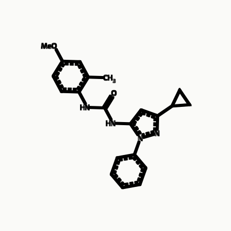 COc1ccc(NC(=O)Nc2cc(C3CC3)nn2-c2ccccc2)c(C)c1